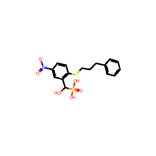 O=[N+]([O-])c1ccc(SCCCc2ccccc2)c(C(O)P(=O)(O)O)c1